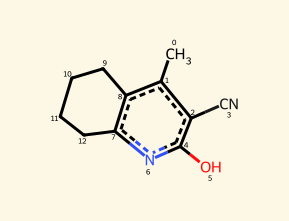 Cc1c(C#N)c(O)nc2c1CCCC2